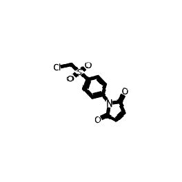 O=C1C=CC(=O)N1c1ccc(S(=O)(=O)CCl)cc1